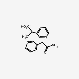 CC(C(=O)O)c1cccnc1.NC(=O)Cc1cccnc1